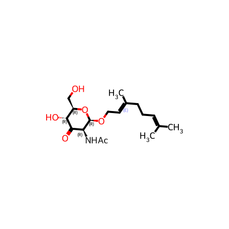 CC(=O)N[C@H]1C(=O)[C@H](O)[C@@H](CO)O[C@H]1OC/C=C(\C)CCC=C(C)C